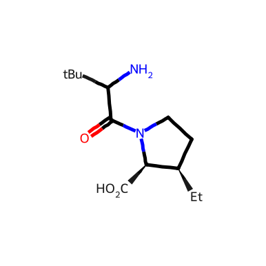 CC[C@@H]1CCN(C(=O)C(N)C(C)(C)C)[C@@H]1C(=O)O